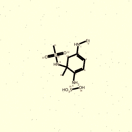 CCNC1=CC=C(N)C(C)(NS(C)(=O)=O)C1.O=S(=O)(O)O